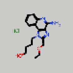 CCOCc1nc2c(N)nc3ccccc3c2n1CCCCO.Cl